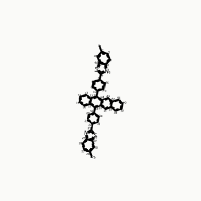 Cc1ccc2nc(-c3ccc(-c4c5ccccc5c(-c5ccc(-c6nc7ccc(C)cc7s6)cc5)c5cc6ccccc6cc45)cc3)sc2c1